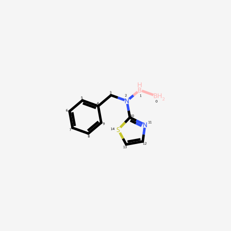 BBN(Cc1ccccc1)c1nccs1